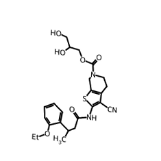 CCOc1ccccc1C(C)CC(=O)Nc1sc2c(c1C#N)CCN(C(=O)OCC(O)CO)C2